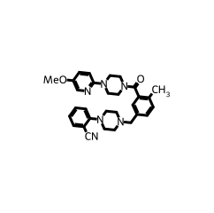 COc1ccc(N2CCN(C(=O)c3cc(CN4CCN(c5ccccc5C#N)CC4)ccc3C)CC2)nc1